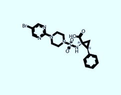 O=C(O)[C@@]1(NS(=O)(=O)N2CCN(c3ncc(Br)cn3)CC2)C[C@H]1c1ccccc1